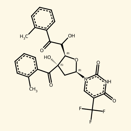 Cc1ccccc1C(=O)C(O)[C@H]1O[C@@H](n2cc(C(F)(F)F)c(=O)[nH]c2=O)C[C@@]1(O)C(=O)c1ccccc1C